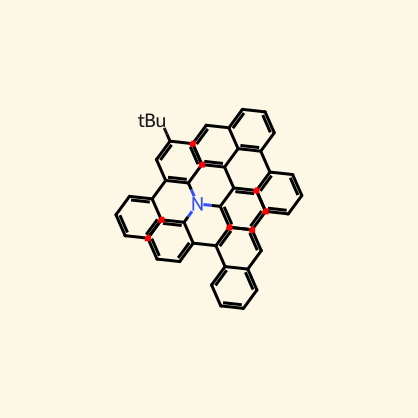 CC(C)(C)c1ccc(N(c2ccccc2-c2cccc3ccccc23)c2ccccc2-c2cccc3cccc(-c4ccccc4)c23)c(-c2ccccc2)c1